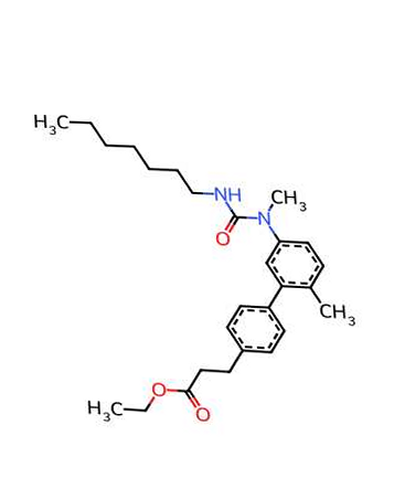 CCCCCCCNC(=O)N(C)c1ccc(C)c(-c2ccc(CCC(=O)OCC)cc2)c1